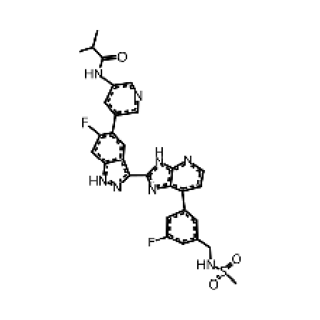 CC(C)C(=O)Nc1cncc(-c2cc3c(-c4nc5c(-c6cc(F)cc(CNS(C)(=O)=O)c6)ccnc5[nH]4)n[nH]c3cc2F)c1